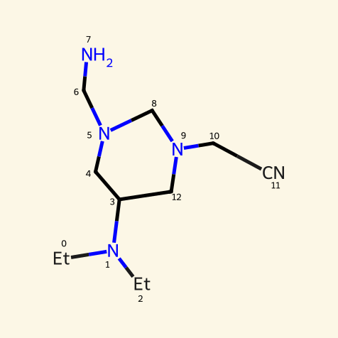 CCN(CC)C1CN(CN)CN(CC#N)C1